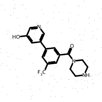 O=C(c1cc(-c2cncc(O)c2)cc(C(F)(F)F)c1)N1CCNCC1